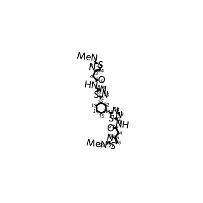 CNc1nc(CC(=O)Nc2nnc([C@H]3CCC[C@H](c4nnc(NC(=O)Cc5csc(NC)n5)s4)C3)s2)cs1